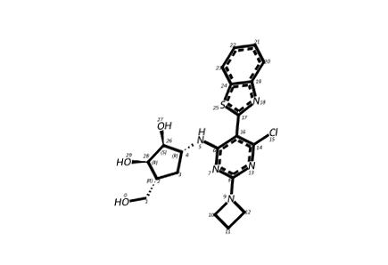 OC[C@H]1C[C@@H](Nc2nc(N3CCC3)nc(Cl)c2-c2nc3ccccc3s2)[C@H](O)[C@@H]1O